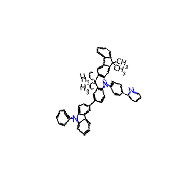 CC1(C)c2ccccc2-c2cc3c(cc21)N(c1ccc(-c2ccccn2)cc1)c1ccc(-c2ccc4c(c2)c2ccccc2n4-c2ccccc2)cc1C3(C)C